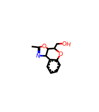 CC1=NC2c3ccccc3OC(CO)C2O1